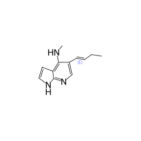 CC/C=C/c1cnc2[nH]ccc2c1NC